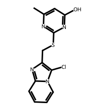 Cc1cc(O)nc(SCc2nc3ccccn3c2Cl)n1